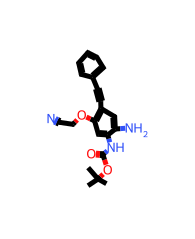 CC(C)(C)OC(=O)Nc1cc(OCC#N)c(C#Cc2ccccc2)cc1N